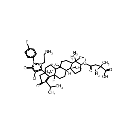 CC(C)C1=C2[C@H]3CC[C@@H]4[C@@]5(C)CC[C@H](OC(=O)CC(C)(C)C(=O)O)C(C)(C)[C@@H]5CC[C@@]4(C)[C@]3(C)CC[C@@]2(c2c(Cl)c(=O)n(-c3ccc(F)cc3)n2CCN)CC1=O